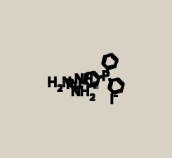 [I-].[NH2][Ru+]([NH2])[NH2].c1ccc(P(c2ccccc2)c2ccccc2)cc1